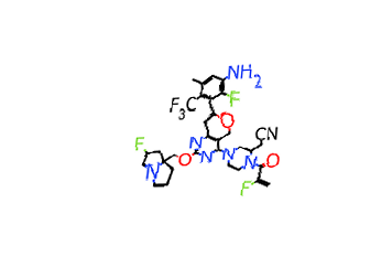 C=C(F)C(=O)N1CCN(c2nc(OCC34CCCN3CC(F)C4)nc3c2COC(c2c(F)c(N)cc(C)c2C(F)(F)F)C3)CC1CC#N